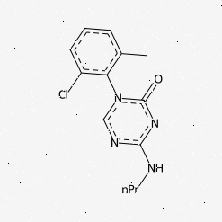 CCCNc1ncn(-c2c(C)cccc2Cl)c(=O)n1